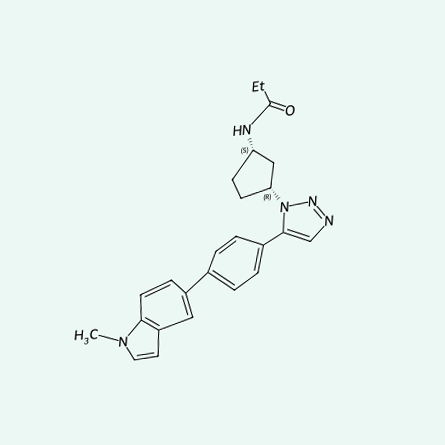 CCC(=O)N[C@H]1CC[C@@H](n2nncc2-c2ccc(-c3ccc4c(ccn4C)c3)cc2)C1